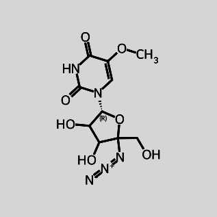 COc1cn([C@@H]2OC(CO)(N=[N+]=[N-])C(O)C2O)c(=O)[nH]c1=O